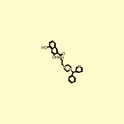 O=C(NCCN1CCN(C(c2ccccc2)c2cccnc2)CC1)c1cc2cccc(O)c2cc1O